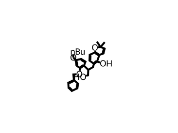 CCCCOc1ccc(C(CO)Cc2ccc3c(c2O)C=CC(C)(C)O3)c(OCc2ccccc2)c1